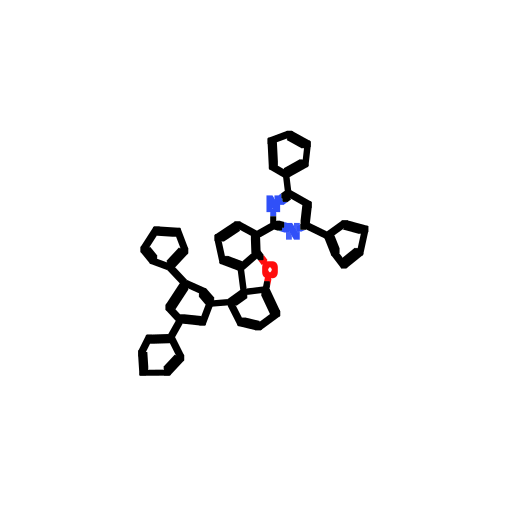 c1ccc(-c2cc(-c3ccccc3)cc(-c3cccc4oc5c(-c6nc(-c7ccccc7)cc(-c7ccccc7)n6)cccc5c34)c2)cc1